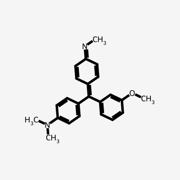 CN=C1C=CC(=C(c2ccc(N(C)C)cc2)c2cccc(OC)c2)C=C1